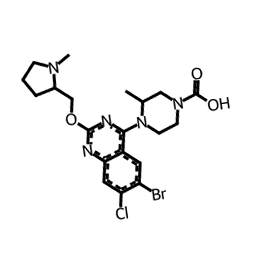 CC1CN(C(=O)O)CCN1c1nc(OCC2CCCN2C)nc2cc(Cl)c(Br)cc12